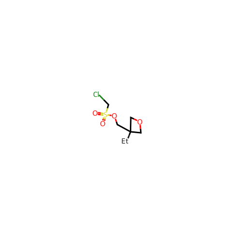 CCC1(COS(=O)(=O)CCl)COC1